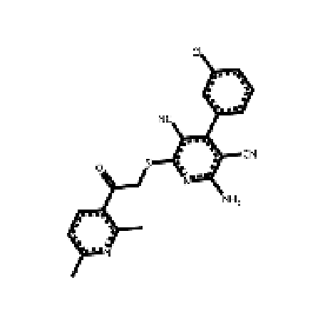 Cc1ccc(C(=O)CSc2nc(N)c(C#N)c(-c3cccc(Cl)c3)c2C#N)c(C)n1